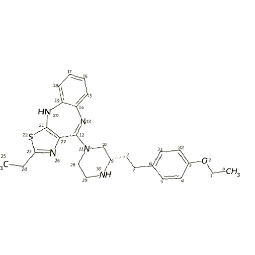 CCOc1ccc(CC[C@H]2CN(C3=Nc4ccccc4Nc4sc(CC)nc43)CCN2)cc1